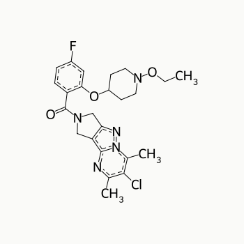 CCON1CCC(Oc2cc(F)ccc2C(=O)N2Cc3nn4c(C)c(Cl)c(C)nc4c3C2)CC1